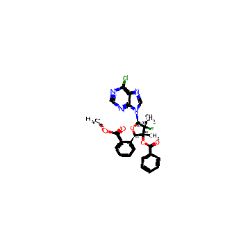 COC(=O)c1ccccc1[C@H]1O[C@@H](n2cnc3c(Cl)ncnc32)[C@](C)(F)[C@]1(C)OC(=O)c1ccccc1